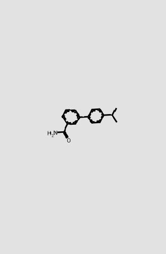 CC(C)c1ccc(-c2cccc(C(N)=O)c2)cc1